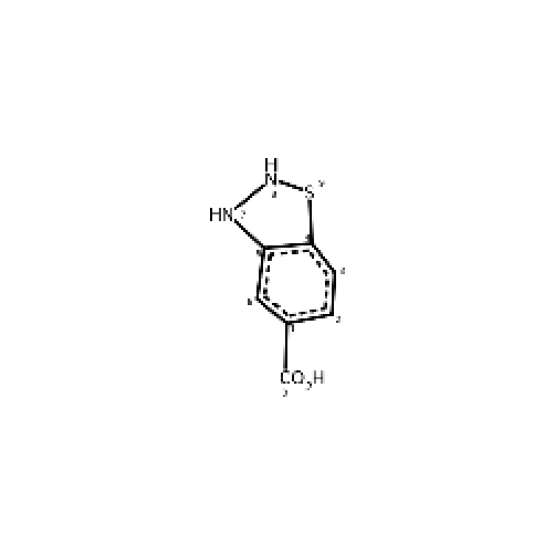 O=C(O)c1ccc2c(c1)NNS2